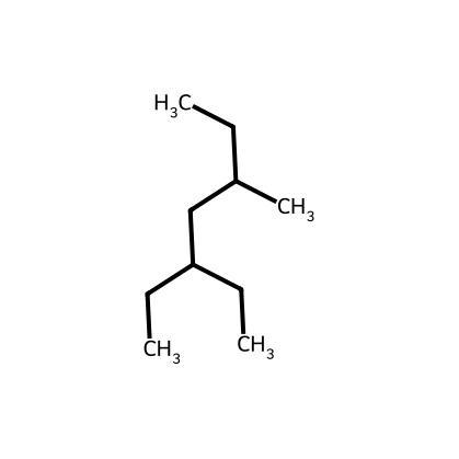 CCC(C)CC(CC)CC